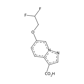 O=C(O)c1cnn2cc(OCC(F)F)ccc12